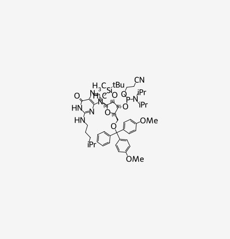 COc1ccc(C(OC[C@H]2O[C@@H](n3cnc4c(=O)[nH]c(NCCCC(C)C)nc43)[C@H](O[Si](C)(C)C(C)(C)C)[C@@H]2OP(OCCC#N)N(C(C)C)C(C)C)(c2ccccc2)c2ccc(OC)cc2)cc1